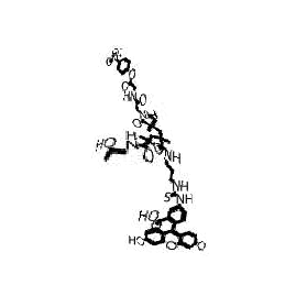 CCC(C)(CC(C)(CC(C)(C)C(=O)NCC(C)O)C(=O)NCCCNC(=S)Nc1ccc(C2=C3C=CC(=O)C=C3OC3C=C(O)C=CC23)c(C(=O)O)c1)C(=O)NCC(=O)NCC(=O)Oc1ccc([N+](=O)[O-])cc1